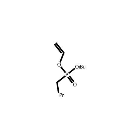 C=COP(=O)(CC(C)C)OCC(C)C